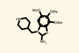 COc1cc2c(c(OC)c1OC)SC(N)N2CC1CCNCC1